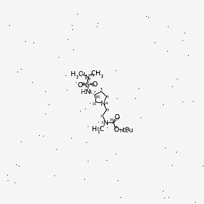 CN(CCN1CC[C@@H](NS(=O)(=O)N(C)C)C1)C(=O)OC(C)(C)C